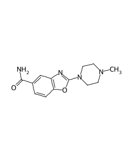 CN1CCN(c2nc3cc(C(N)=O)ccc3o2)CC1